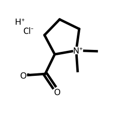 C[N+]1(C)CCCC1C(=O)[O-].[Cl-].[H+]